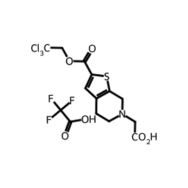 O=C(O)C(F)(F)F.O=C(O)CN1CCc2cc(C(=O)OCC(Cl)(Cl)Cl)sc2C1